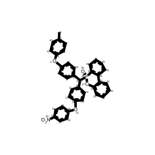 Cc1ccc(Oc2ccc(C(c3ccc(Oc4ccc([N+](=O)[O-])cc4)cc3)P3(=O)Oc4ccccc4-c4ccccc43)cc2)cc1